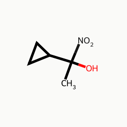 CC(O)(C1CC1)[N+](=O)[O-]